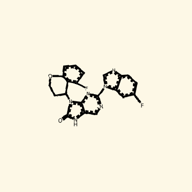 O=c1[nH]c2cnc(-n3cnc4ccc(F)cc43)nc2n1C1CCOc2cccc(F)c21